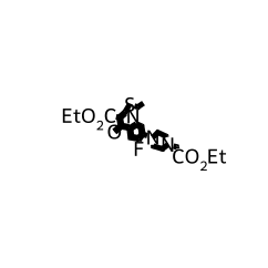 CCOC(=O)CN1CCN(c2cc3c(cc2F)c(=O)c(C(=O)OCC)c2n3C(C)S2)CC1